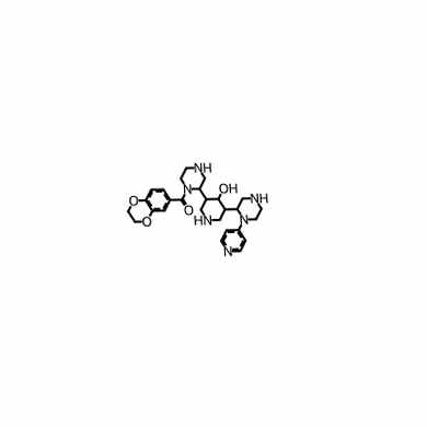 O=C(c1ccc2c(c1)OCCO2)N1CCNCC1C1CNCC(C2CNCCN2c2ccncc2)C1O